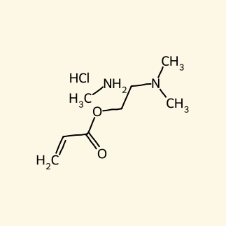 C=CC(=O)OCCN(C)C.CN.Cl